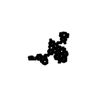 Cc1cc(C)c2c(c1)C(CCc1cc3c(cc1C)C(C)(C)CCC3(C)C)c1cc3c(cc1B2c1ccc(CCC2c4ccc(C(C)(C)C)cc4C4(C)CCCCC24C)cc1C(C)c1ccc2sc4ccccc4c2c1)C(C)(C)c1ccccc1C3(C)C